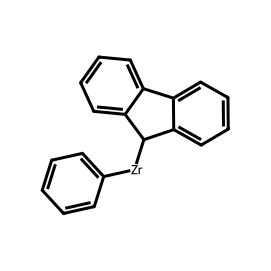 c1cc[c]([Zr][CH]2c3ccccc3-c3ccccc32)cc1